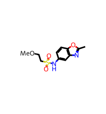 COCCS(=O)(=O)Nc1ccc2oc(C)nc2c1